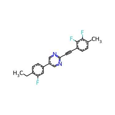 CCc1ccc(-c2cnc(C#Cc3ccc(C)c(F)c3F)nc2)cc1F